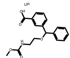 COC(=O)NCCOC(c1ccccc1)c1cccc(C(=O)O)c1.[LiH]